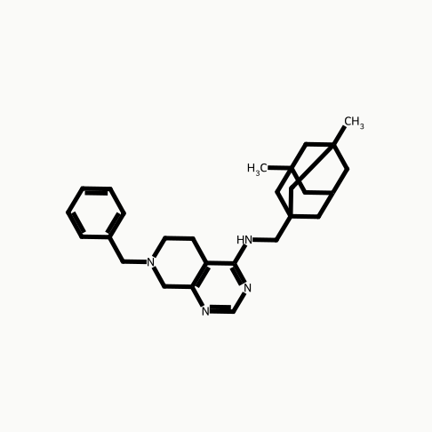 CC12CC3CC(C)(C1)CC(CNc1ncnc4c1CCN(Cc1ccccc1)C4)(C3)C2